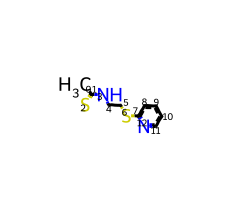 CC(=S)NCCSc1ccccn1